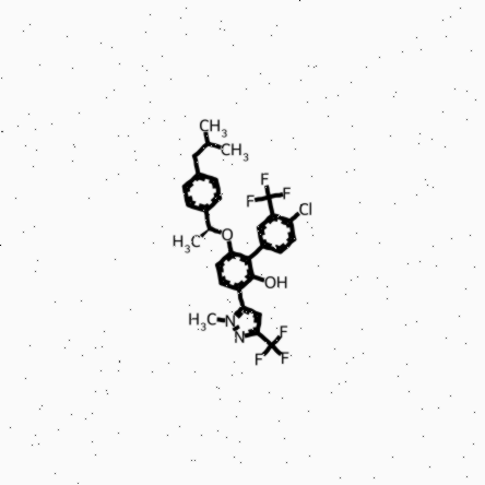 CC(C)Cc1ccc([C@H](C)Oc2ccc(-c3cc(C(F)(F)F)nn3C)c(O)c2-c2ccc(Cl)c(C(F)(F)F)c2)cc1